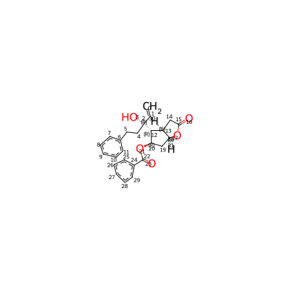 C=C[C@](O)(CCc1ccccc1)[C@@H]1[C@H]2CC(=O)O[C@H]2C[C@H]1OC(=O)c1ccccc1